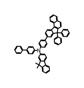 CC1(C)c2ccccc2-c2ccc(N(c3ccc(-c4ccccc4)cc3)c3ccc(-c4ccc5c(c4)C(c4ccccc4)(c4ccccc4)c4ccc6ccccc6c4-5)cc3)cc21